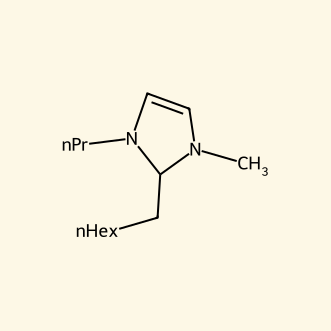 CCCCCCCC1N(C)C=CN1CCC